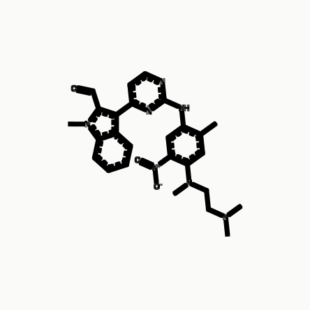 Cc1cc(N(C)CCN(C)C)c([N+](=O)[O-])cc1Nc1nccc(-c2c(C=O)n(C)c3ccccc23)n1